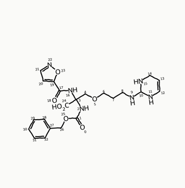 O=C(NC(COCCCNC1NC=CCN1)(NC(=O)c1ccno1)C(=O)O)OCc1ccccc1